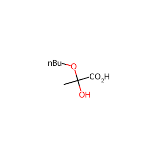 CCCCOC(C)(O)C(=O)O